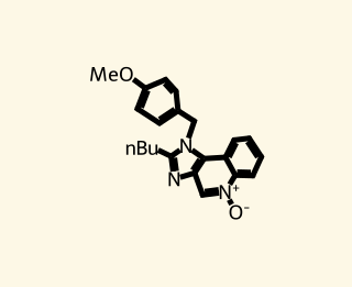 CCCCc1nc2c[n+]([O-])c3ccccc3c2n1Cc1ccc(OC)cc1